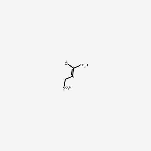 O=C(O)CC=C(Cl)C(=O)O